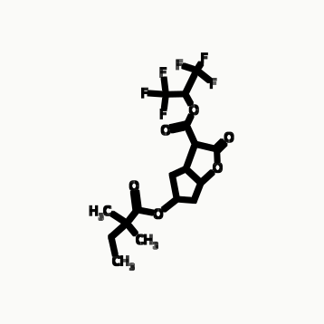 CCC(C)(C)C(=O)OC1CC2OC(=O)C(C(=O)OC(C(F)(F)F)C(F)(F)F)C2C1